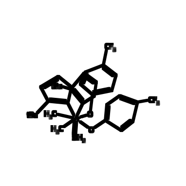 CC(C)(C)C1=[C]([Zr]([CH3])([CH3])(=[SiH2])([O]c2ccc(C(F)(F)F)cc2)([O]c2ccc(C(F)(F)F)cc2)[C]2=C(C(C)(C)C)C=CC2)CC=C1